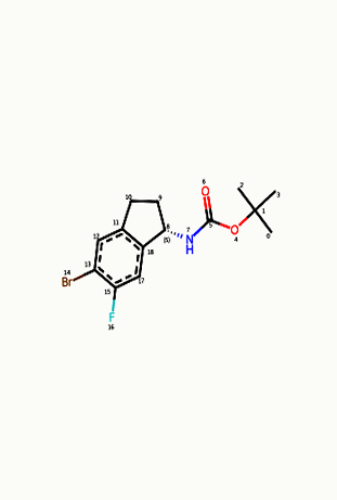 CC(C)(C)OC(=O)N[C@H]1CCc2cc(Br)c(F)cc21